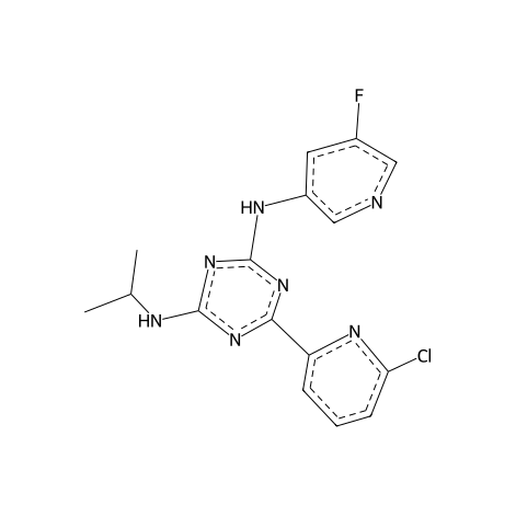 CC(C)Nc1nc(Nc2cncc(F)c2)nc(-c2cccc(Cl)n2)n1